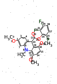 COc1ccc2c(c1)N(C)c1c(OC)ccc(OC)c1C2C(=O)Oc1c(F)ccc(F)c1F